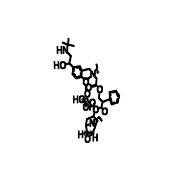 CC[N+](CC)(CC(=O)OCC(C(=O)OC1CC2[C@H]3O[C@H]3C(C1)[N+]2(C)CC)c1ccccc1)Cc1cc(C(O)CNC(C)(C)C)ccc1OCOP(=O)(O)O